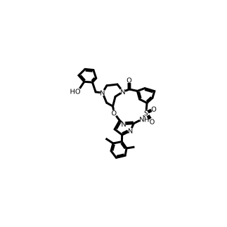 Cc1cccc(C)c1-c1cc2nc(n1)NS(=O)(=O)c1cccc(c1)C(=O)N1CCN(Cc3ccccc3O)CC(C1)O2